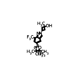 CC1(C)OB(c2cc(C(F)(F)F)c3nn([C@H]4C[C@@](C)(O)C4)cc3c2)OC1(C)C